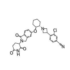 N#Cc1ccc(C2CN([C@H]3CCCC[C@@H]3Oc3ccc4c(c3)CN(C3CCC(=O)NC3=O)C4=O)C2)c(Cl)c1